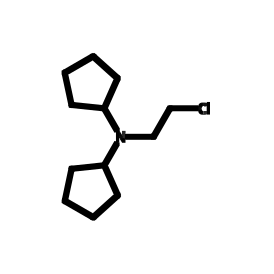 ClCCN(C1CCCC1)C1CCCC1